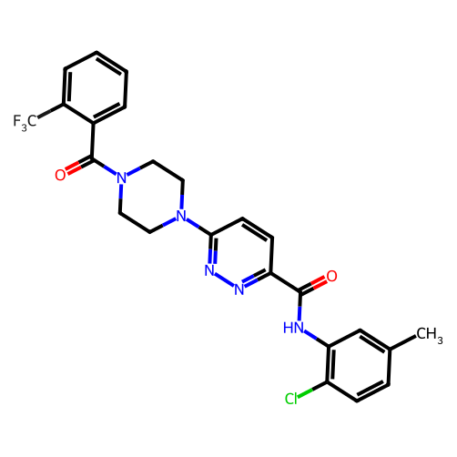 Cc1ccc(Cl)c(NC(=O)c2ccc(N3CCN(C(=O)c4ccccc4C(F)(F)F)CC3)nn2)c1